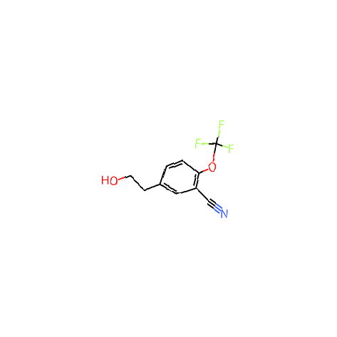 N#Cc1cc(CCO)ccc1OC(F)(F)F